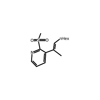 CCCCCCC=C(C)c1cccnc1S(C)(=O)=O